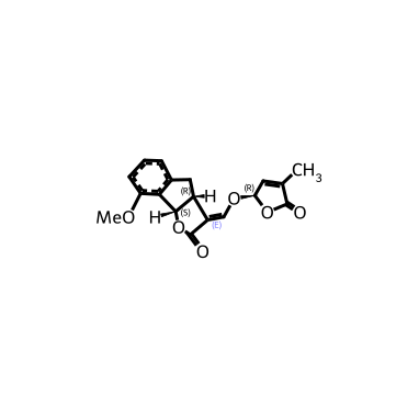 COc1cccc2c1[C@H]1OC(=O)/C(=C/O[C@H]3C=C(C)C(=O)O3)[C@H]1C2